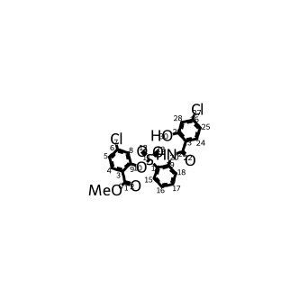 COC(=O)c1ccc(Cl)cc1OS(=O)(=O)c1ccccc1NC(=O)c1ccc(Cl)cc1O